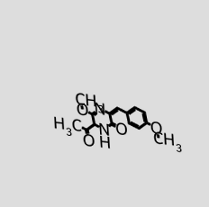 COC1=NC(=Cc2ccc(OC)cc2)C(=O)NC1C(C)=O